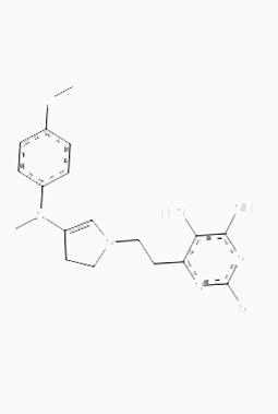 COc1ccc(N(C)C2=CN(CCc3nc(N)nc(N)c3N)CC2)cc1